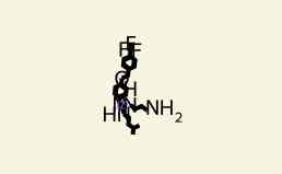 CC(C)CCN/C(=N/c1ccc(OCc2ccc(C(F)(F)F)cc2)cc1)NCCCN